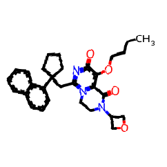 CCCCOc1c2n(c(CC3(c4cccc5ccccc45)CCCC3)nc1=O)CCN(C1COC1)C2=O